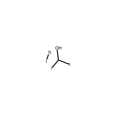 OC(I)I.[Ti][I]